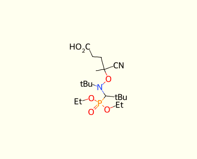 CCOP(=O)(OCC)C(N(OC(C)(C#N)CCC(=O)O)C(C)(C)C)C(C)(C)C